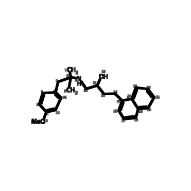 COc1ccc(CC(C)(C)NCC(O)CCc2cccc3ccccc23)cc1